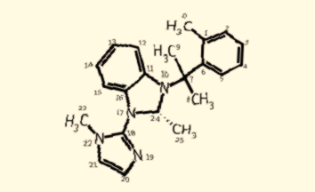 Cc1ccccc1C(C)(C)N1c2ccccc2N(c2nccn2C)[C@H]1C